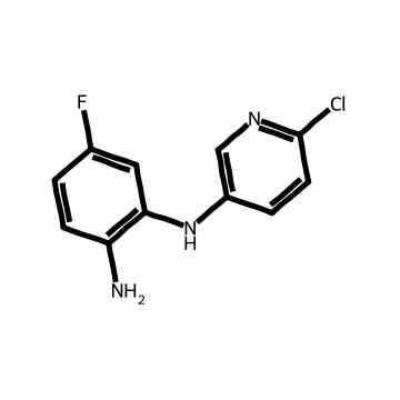 Nc1ccc(F)cc1Nc1ccc(Cl)nc1